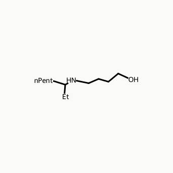 CCCCCC(CC)NCCCCO